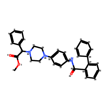 COC(=O)C(c1ccccc1)N1CCN(c2ccc(NC(=O)c3ccccc3-c3ccccc3)cc2)CC1